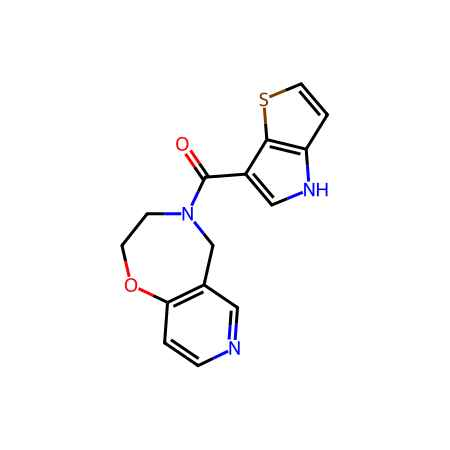 O=C(c1c[nH]c2ccsc12)N1CCOc2ccncc2C1